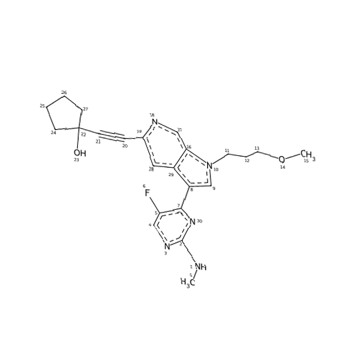 CNc1ncc(F)c(-c2cn(CCCOC)c3cnc(C#CC4(O)CCCC4)cc23)n1